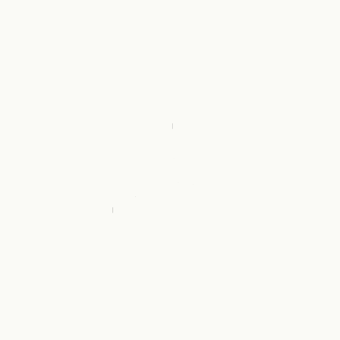 CSCc1ccccc1Oc1ccccc1CSC